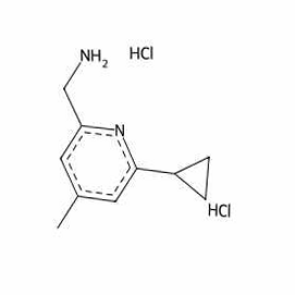 Cc1cc(CN)nc(C2CC2)c1.Cl.Cl